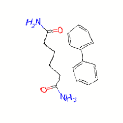 NC(=O)CCCCC(N)=O.c1ccc(-c2ccccc2)cc1